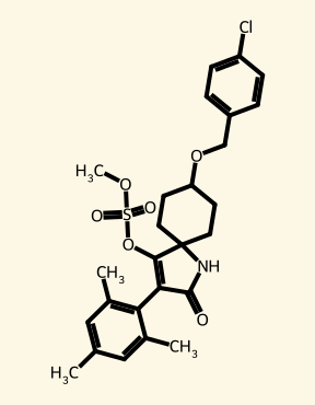 COS(=O)(=O)OC1=C(c2c(C)cc(C)cc2C)C(=O)NC12CCC(OCc1ccc(Cl)cc1)CC2